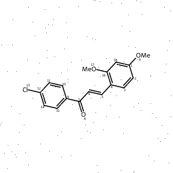 COc1ccc(C=CC(=O)c2ccc(Cl)cc2)c(OC)c1